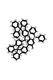 Cc1cc(N(c2ccccc2)c2ccccc2)c(C)cc1-c1ccc2c(c1)C1(c3ccccc3-c3ccc(C(=O)c4ccc5c(c4)C4(c6ccccc6-c6ccccc64)c4ccccc4-5)cc31)c1ccccc1-2